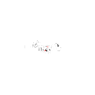 Cn1cc(N[C@@H](CC2CC2)C(=O)N2[C@H]3CC[C@@H]([C@H]2C(=O)N[C@H](C#N)C[C@@H]2CCCNC2=O)C(F)(F)C3)cn1